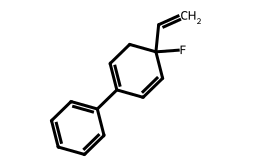 C=CC1(F)C=CC(c2ccccc2)=CC1